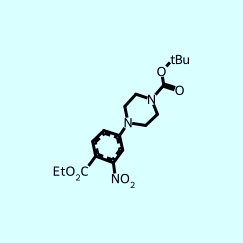 CCOC(=O)c1ccc(N2CCN(C(=O)OC(C)(C)C)CC2)cc1[N+](=O)[O-]